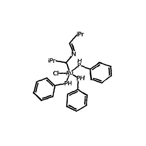 CC(C)C=N[CH](C(C)C)[Ru]([Cl])([PH]c1ccccc1)([PH]c1ccccc1)[PH]c1ccccc1